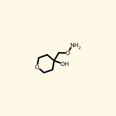 NOCC1(O)CCOCC1